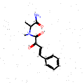 CC(C(N)=O)N(C)C(=O)C(=O)/C=C/c1ccccc1